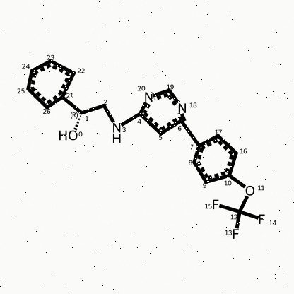 O[C@@H](CNc1cc(-c2ccc(OC(F)(F)F)cc2)ncn1)c1ccccc1